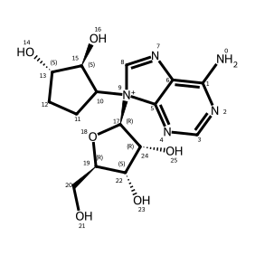 Nc1ncnc2c1N=C[N+]2(C1CC[C@H](O)[C@H]1O)[C@@H]1O[C@H](CO)[C@@H](O)[C@H]1O